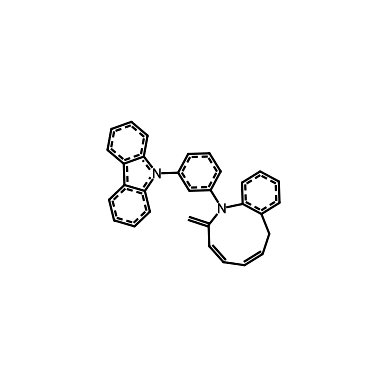 C=C1/C=C\C=C/Cc2ccccc2N1c1cccc(-n2c3ccccc3c3ccccc32)c1